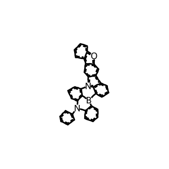 c1ccc(N2c3ccccc3B3c4c2cccc4-n2c4cc5c(cc4c4cccc3c42)oc2ccccc25)cc1